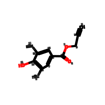 C#CCOC(=O)c1cc(CCCC)c(O)c(CCCC)c1